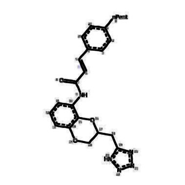 CCCCCc1ccc(/C=C/C(=O)Nc2cccc3c2OC(Cc2nnn[nH]2)CO3)cc1